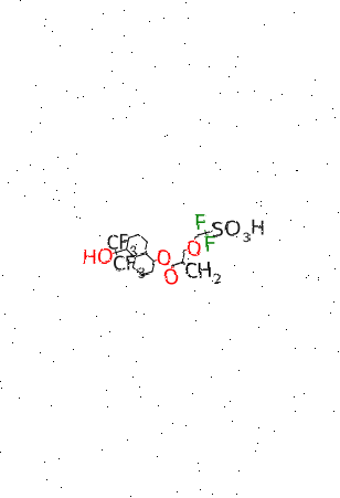 C=C(COCC(F)(F)S(=O)(=O)O)C(=O)OC1CCCC2C1CCCC2C(O)(C(F)(F)F)C(F)(F)F